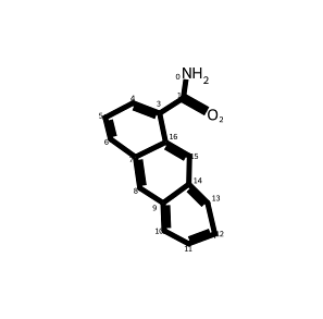 NC(=O)c1cccc2cc3cc[c]cc3cc12